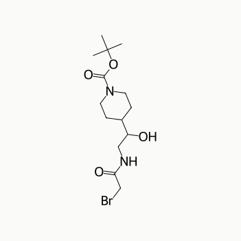 CC(C)(C)OC(=O)N1CCC(C(O)CNC(=O)CBr)CC1